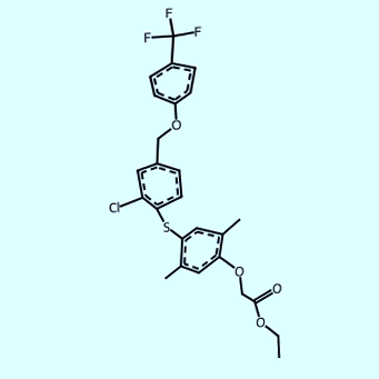 CCOC(=O)COc1cc(C)c(Sc2ccc(COc3ccc(C(F)(F)F)cc3)cc2Cl)cc1C